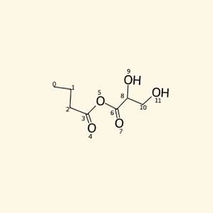 CCCC(=O)OC(=O)C(O)CO